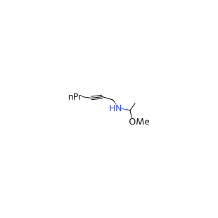 CCCC#CCNC(C)OC